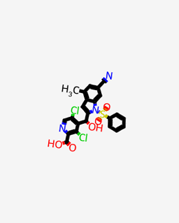 Cc1cc(C#N)cc2c1cc(C(O)c1c(Cl)cnc(C(=O)O)c1Cl)n2S(=O)(=O)c1ccccc1